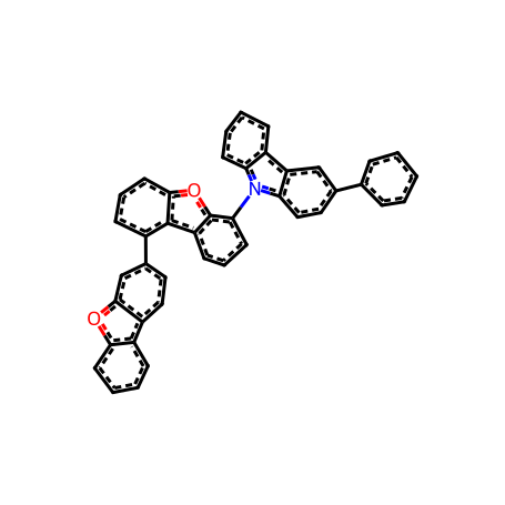 c1ccc(-c2ccc3c(c2)c2ccccc2n3-c2cccc3c2oc2cccc(-c4ccc5c(c4)oc4ccccc45)c23)cc1